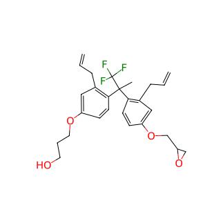 C=CCc1cc(OCCCO)ccc1C(C)(c1ccc(OCC2CO2)cc1CC=C)C(F)(F)F